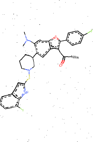 CNC(=O)c1c(-c2ccc(F)cc2)oc2cc(N(C)C)c(C3CCCN(Sc4cc5cccc(F)c5[nH]4)C3)cc12